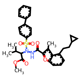 COC(=O)C(C(C)C)N(NC(=O)c1oc2cccc(CCC3CC3)c2c1C)S(=O)(=O)c1ccc(-c2ccccc2)cc1